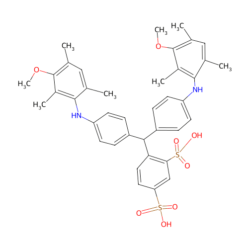 COc1c(C)cc(C)c(Nc2ccc(C(c3ccc(Nc4c(C)cc(C)c(OC)c4C)cc3)c3ccc(S(=O)(=O)O)cc3S(=O)(=O)O)cc2)c1C